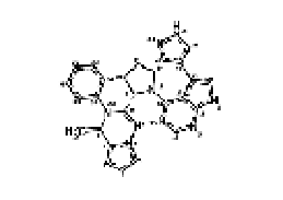 C=C1c2cccn2N=C([C@@H]2CCCN2c2ncnc3[nH]cc(-c4cn[nH]c4)c23)N1c1ccccc1